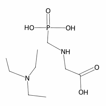 CCN(CC)CC.O=C(O)CNCP(=O)(O)O